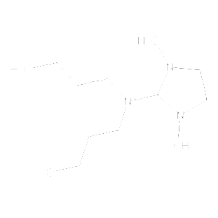 CCCCN(CCCC)C1N(C)CCN1C